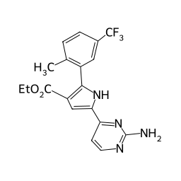 CCOC(=O)c1cc(-c2ccnc(N)n2)[nH]c1-c1cc(C(F)(F)F)ccc1C